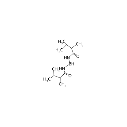 CC(C)C(C)C(=O)NBNC(=O)C(C)C(C)C